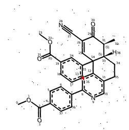 COC(=O)c1ccc(-c2ncc3c(n2)C2(c4cccc(C(=O)OC)c4)C=C(C#N)C(=O)[C@@H](C)[C@@H]2CC3)cc1